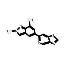 Cc1cc(-c2cc3scnc3cn2)cc2cn(C)nc12